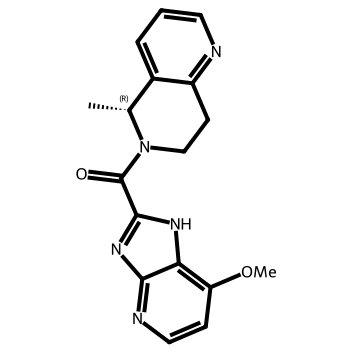 COc1ccnc2nc(C(=O)N3CCc4ncccc4[C@H]3C)[nH]c12